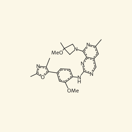 COc1cc(-c2oc(C)nc2C)ccc1Nc1ncc2cc(C)nc(N3CC(C)(OC)C3)c2n1